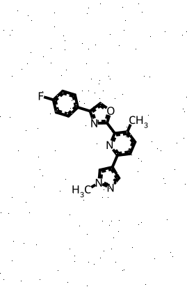 Cc1ccc(-c2cnn(C)c2)nc1-c1nc(-c2ccc(F)cc2)co1